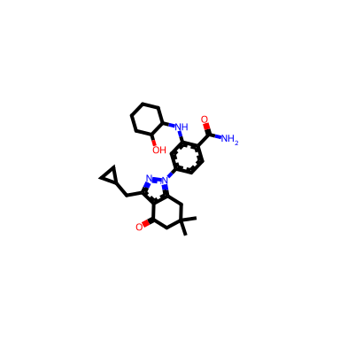 CC1(C)CC(=O)c2c(CC3CC3)nn(-c3ccc(C(N)=O)c(NC4CCCCC4O)c3)c2C1